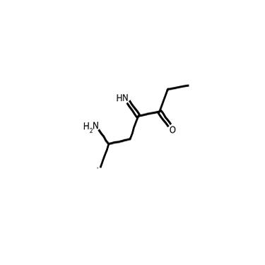 [CH2]C(N)CC(=N)C(=O)CC